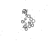 CO[C@@H](C1=C[C@H](CCSc2ncccn2)C1)[C@@H]1CC[C@H]1CN1C[C@@]2(CCCc3cc(Cl)ccc32)COc2ccc(C(=O)OC(C)(C)C)cc21